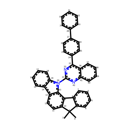 CC1(C)c2ccccc2-c2c1ccc1c3ccccc3n(-c3nc(-c4ccc(-c5ccccc5)cc4)c4ccccc4n3)c21